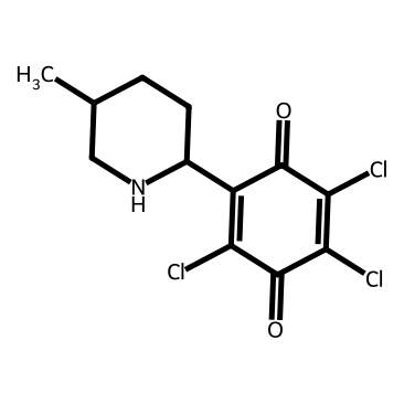 CC1CCC(C2=C(Cl)C(=O)C(Cl)=C(Cl)C2=O)NC1